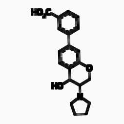 O=C(O)c1cccc(-c2ccc3c(c2)OCC(N2CCCC2)C3O)c1